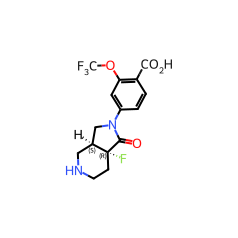 O=C(O)c1ccc(N2C[C@@H]3CNCC[C@]3(F)C2=O)cc1OC(F)(F)F